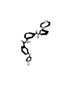 O=C(Nc1cccc(N2CCOCC2)c1)c1cccc(NC(=O)c2cccc(OC3CCNCC3)c2)c1